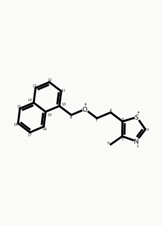 Cc1ncsc1CCOCc1cccc2ccccc12